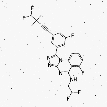 CC(C)(C#Cc1cc(F)cc(-c2nnc3nc(NCC(F)F)c4c(F)cccc4n23)c1)C(F)F